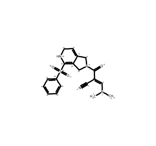 CN(C)C=C(C#N)C(=O)N1CC2=CCNC(S(=O)(=O)c3ccccc3)=C2C1